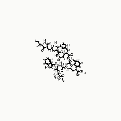 CC[C@H](C)[C@@H]1NC(=O)N(CC(=O)N[C@@H](CS)C(=O)N[C@H](C)C(=O)N[C@@H](Cc2cnc[nH]2)C(=O)N[C@H](Cc2ccccc2)C(=O)N[C@@H](CCCNC(=N)N)C(=O)N[C@@H](Cc2c[nH]c3ccccc23)C(=O)N[C@@H](CS)C(N)=O)C1=O